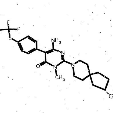 C[C@H]1CCC2(CCN(c3nc(N)c(-c4ccc(SC(F)(F)F)cc4)c(=O)n3C)CC2)C1